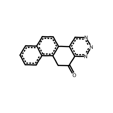 O=C1Cc2c(ccc3ccccc23)-c2cnnnc21